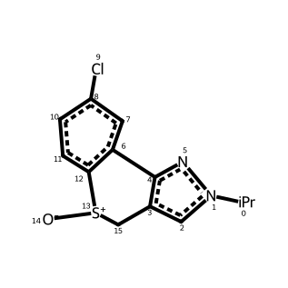 CC(C)n1cc2c(n1)-c1cc(Cl)ccc1[S+]([O-])C2